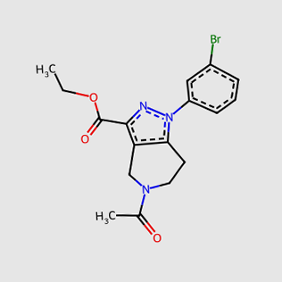 CCOC(=O)c1nn(-c2cccc(Br)c2)c2c1CN(C(C)=O)CC2